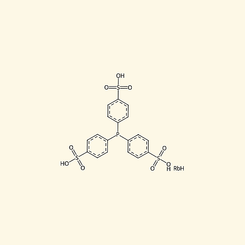 O=S(=O)(O)c1ccc(P(c2ccc(S(=O)(=O)O)cc2)c2ccc(S(=O)(=O)O)cc2)cc1.[RbH]